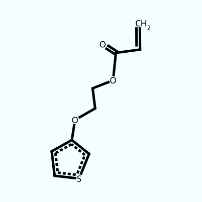 C=CC(=O)OCCOc1ccsc1